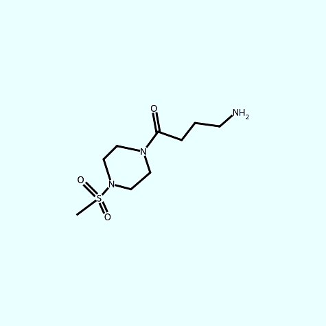 CS(=O)(=O)N1CCN(C(=O)CCCN)CC1